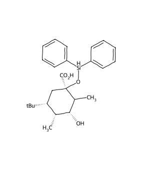 CC1[C@H](O)[C@H](C)[C@H](C(C)(C)C)C[C@]1(O[SiH](c1ccccc1)c1ccccc1)C(=O)O